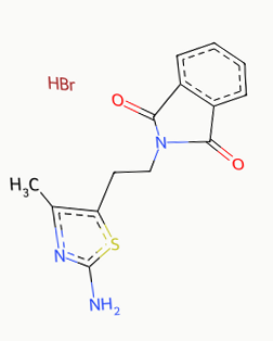 Br.Cc1nc(N)sc1CCN1C(=O)c2ccccc2C1=O